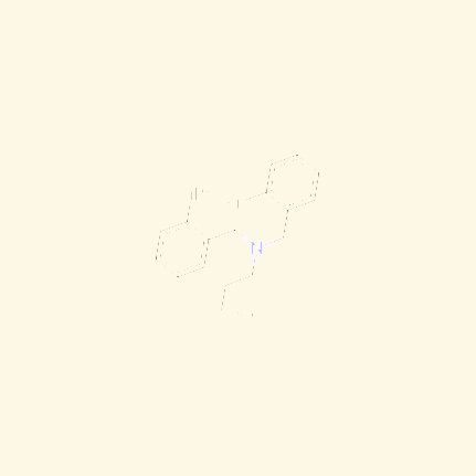 CCCCCCCCCCCCN(Cc1ccccc1C(C)C)Cc1ccccc1C(C)C